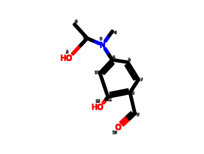 CC(O)N(C)c1ccc(C=O)c(O)c1